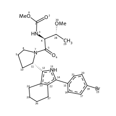 COC(=O)N[C@H](C(=O)N1CCC[C@H]1c1[nH]c(-c2ccc(Br)cc2)c2c1CCCC2)[C@@H](C)OC